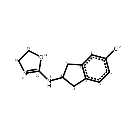 Clc1ccc2c(c1)CC(NC1=NCCO1)C2